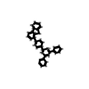 c1ccc(-c2nc(-c3ccccc3)nc(-c3ccc(-c4cccc5c4Cc4cccnc4-5)nc3)n2)cc1